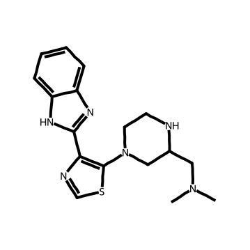 CN(C)CC1CN(c2scnc2-c2nc3ccccc3[nH]2)CCN1